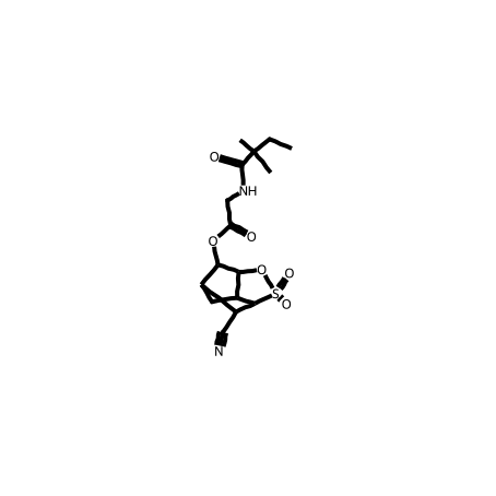 CCC(C)(C)C(=O)NCC(=O)OC1C2CC3C1OS(=O)(=O)C3C2C#N